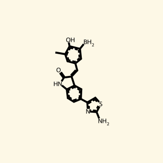 Bc1cc(/C=C2\C(=O)Nc3ccc(-c4csc(N)n4)cc32)cc(C)c1O